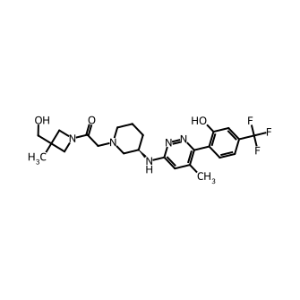 Cc1cc(N[C@@H]2CCCN(CC(=O)N3CC(C)(CO)C3)C2)nnc1-c1ccc(C(F)(F)F)cc1O